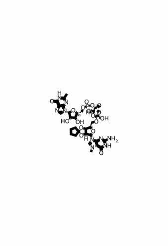 Cc1nc2c(ncn2[C@@H]2O[C@H](COP(=O)(O)OP(=O)(O)OP(=O)(O)OC[C@H]3O[C@@H](n4c[n+](C)c5c(=O)[nH]c(N)nc54)[C@H]4OC5(CCCC5)OC34)C(O)[C@@H]2O)c(=O)[nH]1